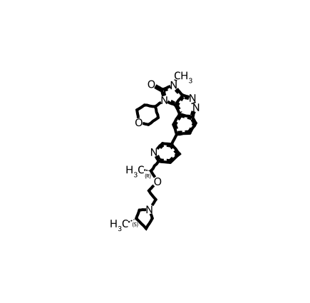 C[C@H]1CCN(CCO[C@H](C)c2ccc(-c3ccc4nnc5c(c4c3)n(C3CCOCC3)c(=O)n5C)cn2)C1